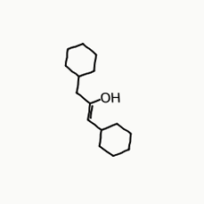 OC(=CC1CCCCC1)CC1CCCCC1